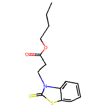 CCCCOC(=O)CCn1c(=S)sc2ccccc21